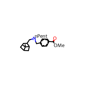 CCCCCN(Cc1ccc(C(=O)OC)cc1)CC1CCC2CC1C2(C)C